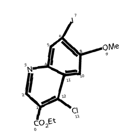 CCOC(=O)c1cnc2cc(I)c(OC)cc2c1Cl